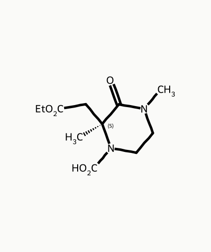 CCOC(=O)C[C@@]1(C)C(=O)N(C)CCN1C(=O)O